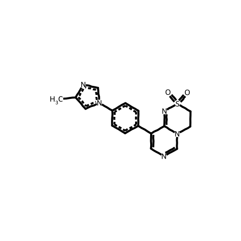 Cc1cn(-c2ccc(C3=CN=CN4CCS(=O)(=O)N=C34)cc2)cn1